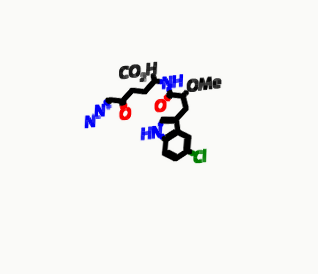 COC(Cc1c[nH]c2ccc(Cl)cc12)C(=O)NC(CCC(=O)C=[N+]=[N-])C(=O)O